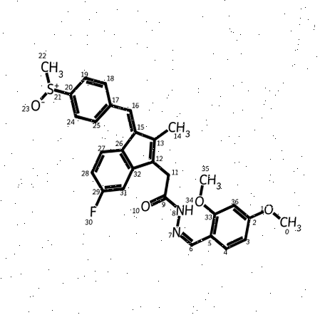 COc1ccc(/C=N\NC(=O)CC2=C(C)/C(=C/c3ccc([S+](C)[O-])cc3)c3ccc(F)cc32)c(OC)c1